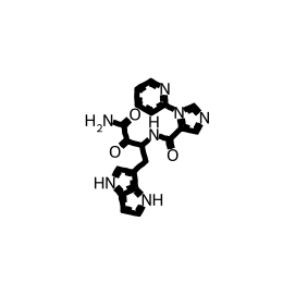 NC(=O)C(=O)C(Cc1c[nH]c2cc[nH]c12)NC(=O)c1cncn1-c1ccccn1